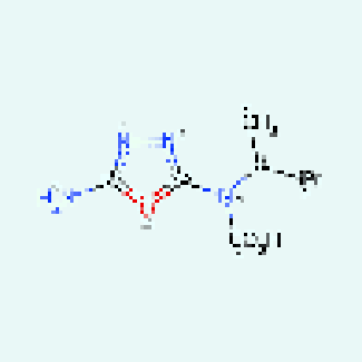 CC(C)C(C)N(C(=O)O)c1nnc(N)o1